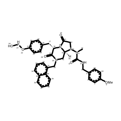 COc1ccc(CNC(=O)N(C)N2CC(=O)N3[C@@H](Cc4ccc(OPO)cc4)C(=O)N(Cc4cccc5ccccc45)C[C@@H]32)cc1